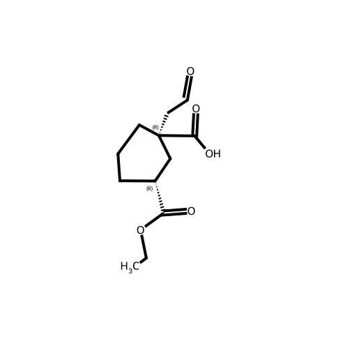 CCOC(=O)[C@@H]1CCC[C@@](CC=O)(C(=O)O)C1